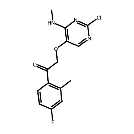 CNc1nc(Cl)ncc1OCC(=O)c1ccc(F)cc1C